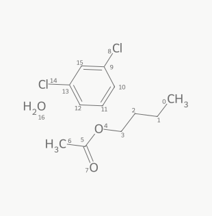 CCCCOC(C)=O.Clc1cccc(Cl)c1.O